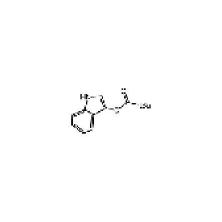 CC(C)(C)C(=O)Oc1c[nH]c2ccccc12